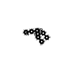 c1ccc(-c2ccc3c(c2)B2c4cc(-c5ccccc5)ccc4Oc4c(-c5ccc(-c6ccccn6)cc5)ccc(c42)O3)cc1